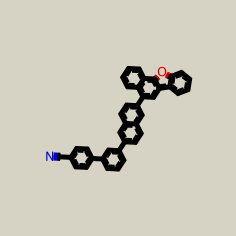 N#Cc1ccc(-c2cccc(-c3ccc4cc(-c5cc6c7ccccc7oc6c6ccccc56)ccc4c3)c2)cc1